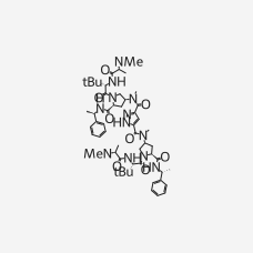 CN[C@@H](C)C(=O)N[C@H](C(=O)N1C[C@@H](N(C)C(=O)c2cc(C(=O)N(C)[C@H]3C[C@@H](C(=O)N[C@H](C)c4ccccc4)N(C(=O)[C@@H](NC(=O)[C@H](C)NC)C(C)(C)C)C3)[nH]n2)C[C@H]1C(=O)N[C@H](C)c1ccccc1)C(C)(C)C